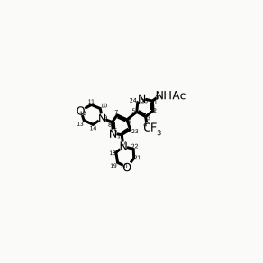 CC(=O)Nc1cc(C(F)(F)F)c(-c2cc(N3CCOCC3)nc(N3CCOCC3)c2)cn1